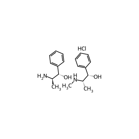 CN[C@@H](C)[C@@H](O)c1ccccc1.C[C@@H](N)[C@@H](O)c1ccccc1.Cl